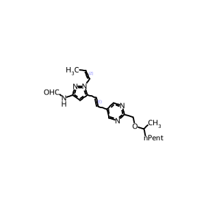 C/C=C\n1nc(NC=O)cc1/C=C/c1cnc(COC(C)CCCCC)nc1